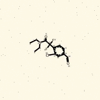 CCN(CC)C(=O)C(F)(F)c1ccc(C=O)cc1Cl